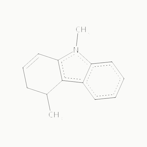 CC1CC=Cc2c1c1ccccc1n2C